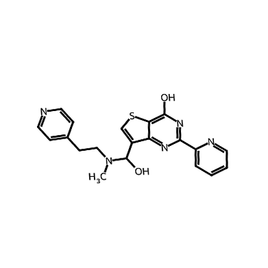 CN(CCc1ccncc1)C(O)c1csc2c(O)nc(-c3ccccn3)nc12